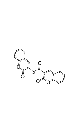 O=C(Sc1cc2ccccc2oc1=O)c1cc2ccccc2oc1=O